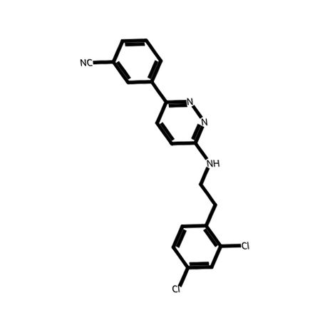 N#Cc1cccc(-c2ccc(NCCc3ccc(Cl)cc3Cl)nn2)c1